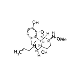 C=CCN1CC[C@]23c4c5ccc(O)c4O[C@H]2[C@@H](NOC)CC[C@@]3(O)[C@H]1C5